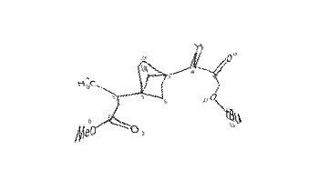 COC(=O)C(C)C12CC(NC(=O)OC(C)(C)C)(C1)C2